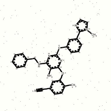 Cc1ccc(C#N)cc1Oc1nc(Oc2cccc(-c3nccn3C)c2)nc(NCc2ccccc2)c1N